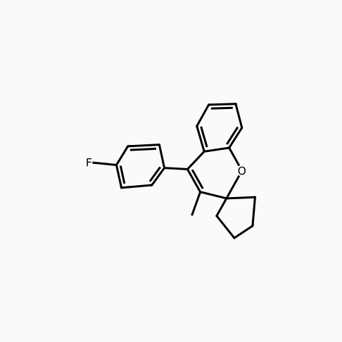 CC1=C(c2ccc(F)cc2)c2ccccc2OC12CCCC2